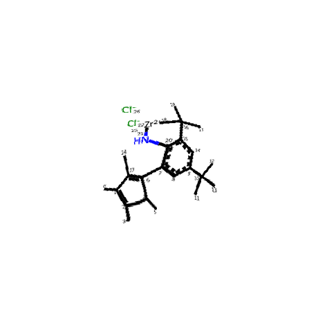 CC1=C(C)C(C)C(c2cc(C(C)(C)C)cc(C(C)(C)C)c2[NH][Zr+2])=C1C.[Cl-].[Cl-]